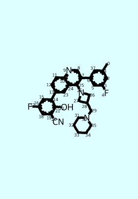 Cc1cc(F)cc(-c2cnc3ccc(-c4cc(F)cc(C#N)c4O)cc3c2N2CC(CN3CCCCC3)C2)c1